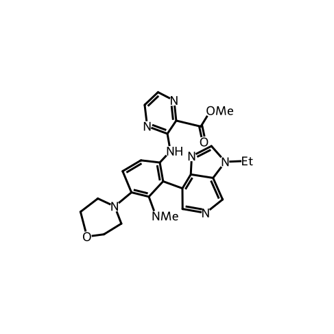 CCn1cnc2c(-c3c(Nc4nccnc4C(=O)OC)ccc(N4CCOCC4)c3NC)cncc21